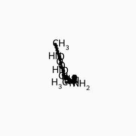 CCCCCCCCCNC(=O)CCOCCOCCNC(=O)CCC(=O)N1CCN(CCn2c(CCCC)nc3c(N)nc4ccccc4c32)CC1